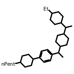 CCCCCC1CCC(c2ccc(C(C)C3CCC(C(C)C4CCC(CC)CC4)CC3)cc2)CC1